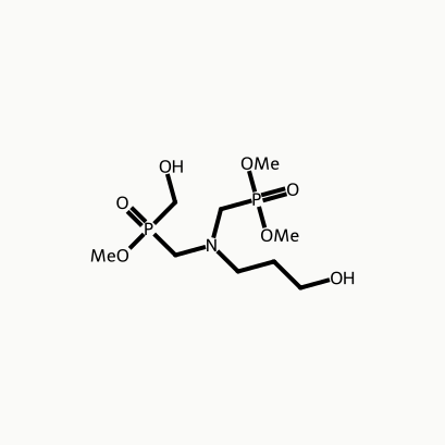 COP(=O)(CO)CN(CCCO)CP(=O)(OC)OC